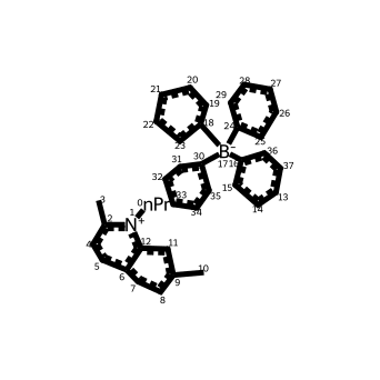 CCC[n+]1c(C)ccc2ccc(C)cc21.c1ccc([B-](c2ccccc2)(c2ccccc2)c2ccccc2)cc1